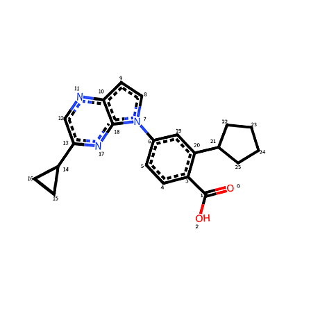 O=C(O)c1ccc(-n2ccc3ncc(C4CC4)nc32)cc1C1CCCC1